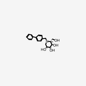 OC[C@@H]1[C@@H](O)[C@H](O)[C@@H](O)CN1Cc1ccc(-c2ccccc2)cc1